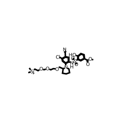 COC(=O)c1ccc(O)c(S(=O)(=O)Nc2cc(C#N)c(Cl)cc2N2CCCCC2COCCOCOCC[Si](C)(C)C)c1